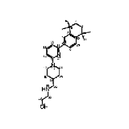 CC1(C)CCC(C)(C)c2cc(-c3cccc(N4CCC(CNCCO)CC4)n3)ccc21